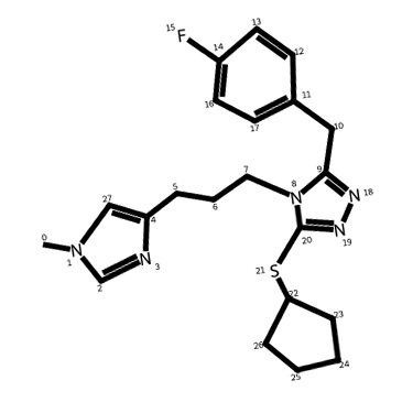 Cn1cnc(CCCn2c(Cc3ccc(F)cc3)nnc2SC2CCCC2)c1